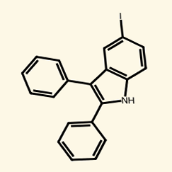 Ic1ccc2[nH]c(-c3ccccc3)c(-c3ccccc3)c2c1